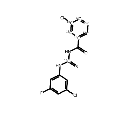 O=C(N[13C](=S)Nc1cc(F)cc(Cl)c1)[13c]1[13cH][13cH][13cH][13c](Cl)[13cH]1